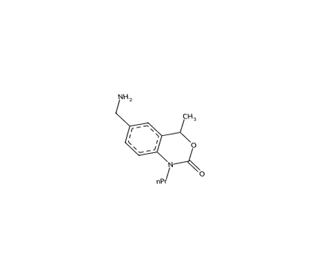 CCCN1C(=O)OC(C)c2cc(CN)ccc21